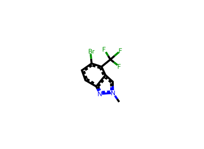 Cn1cc2c(C(F)(F)F)c(Br)ccc2n1